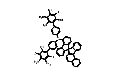 Bc1c(B)c(B)c(-c2ccc(N(c3ccc(-c4c(B)c(B)c(B)c(B)c4B)cc3)c3cccc4c3-c3ccccc3C43c4ccccc4-c4c3ccc3ccccc43)cc2)c(B)c1B